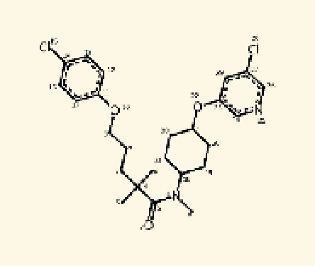 CN(C(=O)C(C)(C)CCCOc1ccc(Cl)cc1)C1CCC(Oc2cncc(Cl)c2)CC1